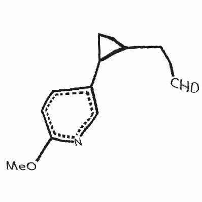 COc1ccc(C2CC2CC=O)cn1